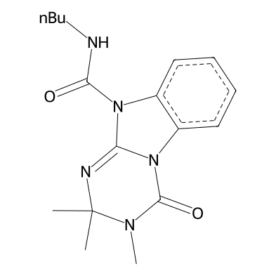 CCCCNC(=O)N1C2=NC(C)(C)N(C)C(=O)N2c2ccccc21